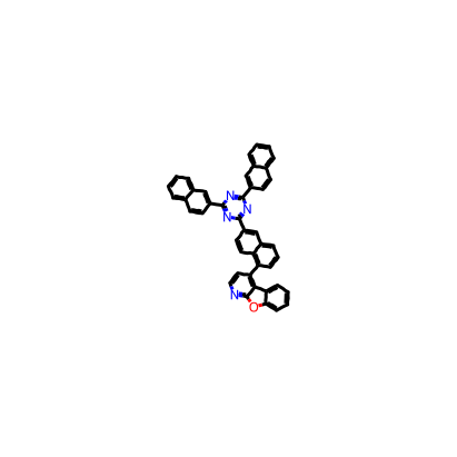 c1ccc2cc(-c3nc(-c4ccc5ccccc5c4)nc(-c4ccc5c(-c6ccnc7oc8ccccc8c67)cccc5c4)n3)ccc2c1